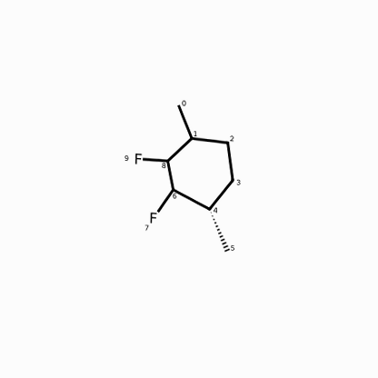 CC1CC[C@H](C)C(F)C1F